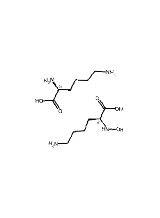 NCCCC[C@H](N)C(=O)O.NCCCC[C@H](NO)C(=O)O